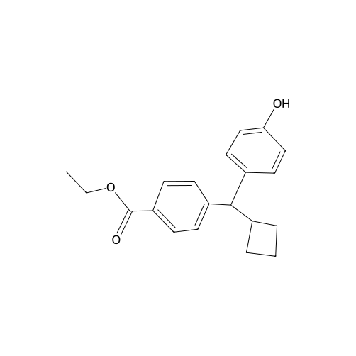 CCOC(=O)c1ccc(C(c2ccc(O)cc2)C2CCC2)cc1